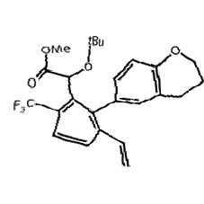 C=Cc1ccc(C(F)(F)F)c(C(OC(C)(C)C)C(=O)OC)c1-c1ccc2c(c1)CCCO2